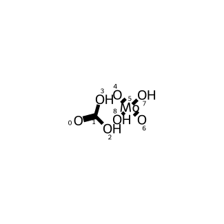 O=C(O)O.[O]=[Mo](=[O])([OH])[OH]